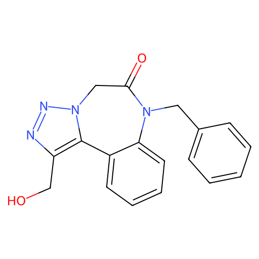 O=C1Cn2nnc(CO)c2-c2ccccc2N1Cc1ccccc1